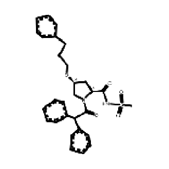 CS(=O)(=O)NC(=O)[C@@H]1C[C@H](OCCCc2ccccc2)CN1C(=O)C(c1ccccc1)c1ccccc1